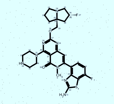 Cn1c(-c2ccc(F)c3sc(N)nc23)cc2nc(OC[C@@]34CCCN3C[C@H](F)C4)nc(N3CCNCC3)c2c1=O